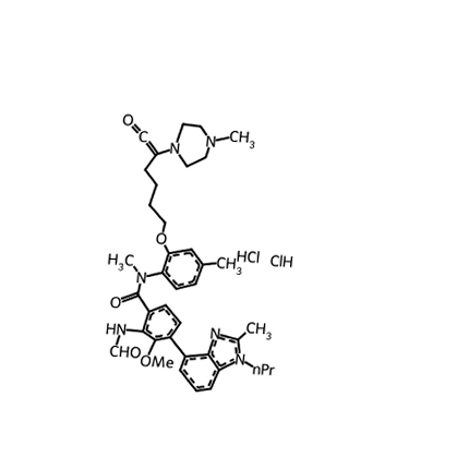 CCCn1c(C)nc2c(-c3ccc(C(=O)N(C)c4ccc(C)cc4OCCCCC(=C=O)N4CCN(C)CC4)c(NC=O)c3OC)cccc21.Cl.Cl